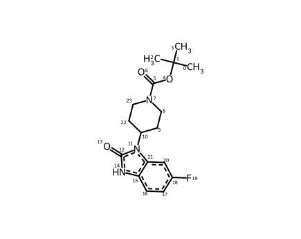 CC(C)(C)OC(=O)N1CCC(n2c(=O)[nH]c3ccc(F)cc32)CC1